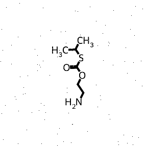 CC(C)SC(=O)OCCN